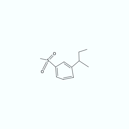 CCC(C)c1cccc(S(C)(=O)=O)c1